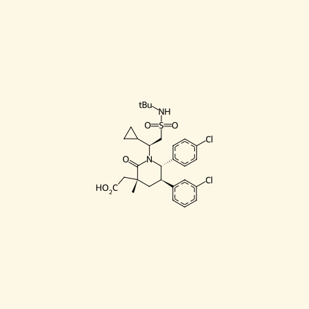 CC(C)(C)NS(=O)(=O)C[C@H](C1CC1)N1C(=O)[C@@](C)(CC(=O)O)C[C@H](c2cccc(Cl)c2)[C@H]1c1ccc(Cl)cc1